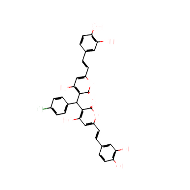 O=c1oc(C=Cc2ccc(O)c(O)c2)cc(O)c1C(c1ccc(Cl)cc1)c1c(O)cc(C=Cc2ccc(O)c(O)c2)oc1=O